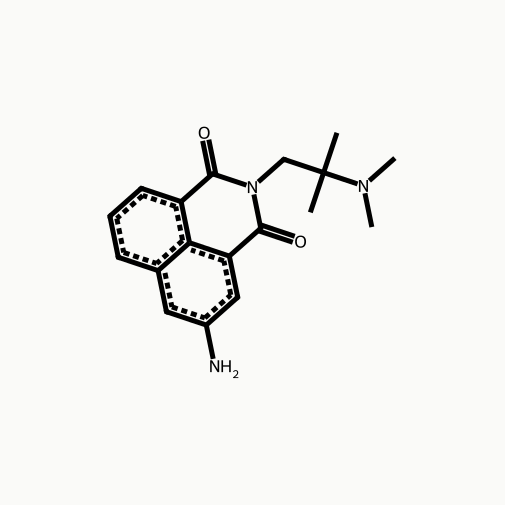 CN(C)C(C)(C)CN1C(=O)c2cccc3cc(N)cc(c23)C1=O